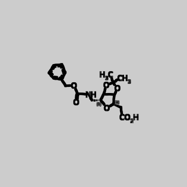 CC1(C)OC2C(O1)[C@@H](CC(=O)O)O[C@@H]2CNC(=O)OCc1ccccc1